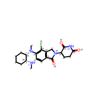 CN[C@@H]1CCCC[C@@H]1N(C)c1ccc2c(c1F)CN(C1CCC(=O)NC1=O)C2=O